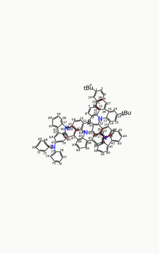 CC(C)(C)c1cccc(-c2ccc3c(c2)N(c2c(-c4ccccc4)cc(C(C)(C)C)cc2-c2ccccc2)c2cc(-n4c5ccccc5c5ccccc54)cc4c2B3c2ccc(-n3c5ccccc5c5cc(N(c6ccccc6)c6ccccc6)ccc53)cc2N4c2c(-c3ccccc3)cccc2-c2ccccc2)c1